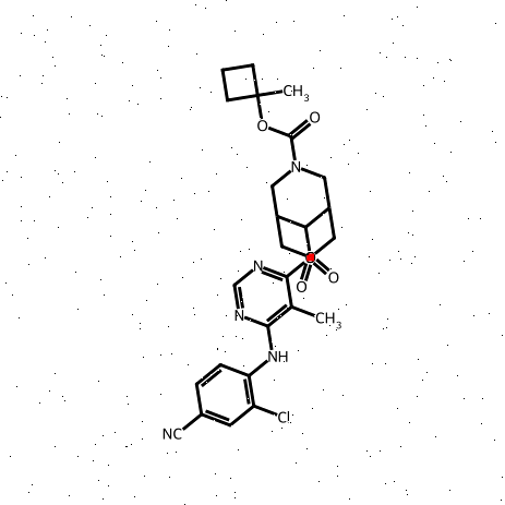 Cc1c(Nc2ccc(C#N)cc2Cl)ncnc1OC1C2CN(C(=O)OC3(C)CCC3)CC1CS(=O)(=O)C2